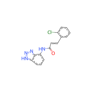 O=C(C=Cc1ccccc1Cl)Nc1cccc2[nH]nnc12